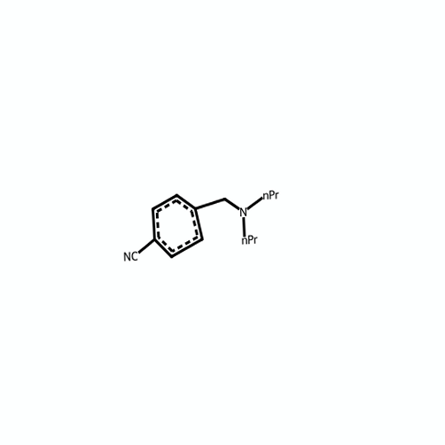 CCCN(CCC)Cc1ccc(C#N)cc1